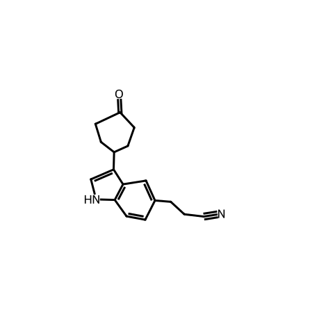 N#CCCc1ccc2[nH]cc(C3CCC(=O)CC3)c2c1